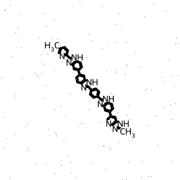 Cc1ccc(-c2nc3cc(-c4ccc5nc(-c6ccc(-c7nc8cc(-c9cnc%10nc(C)[nH]c%10c9)ccc8[nH]7)cc6)[nH]c5c4)ccc3[nH]2)nc1